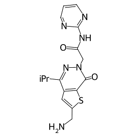 CC(C)c1nn(CC(=O)Nc2ncccn2)c(=O)c2sc(CN)cc12